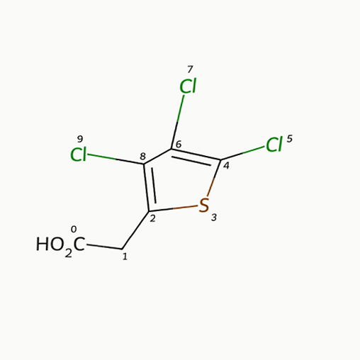 O=C(O)Cc1sc(Cl)c(Cl)c1Cl